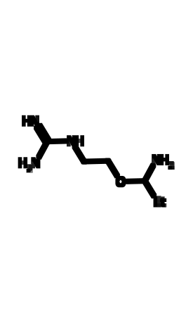 CCC(N)OCCNC(=N)N